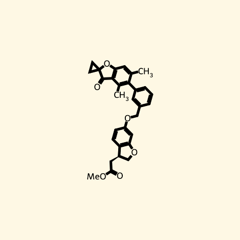 COC(=O)C[C@@H]1COc2cc(OCc3cccc(-c4c(C)cc5c(c4C)C(=O)C4(CC4)O5)c3)ccc21